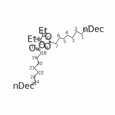 CCCCCCCCCCCCCCCCCC(=O)OC(CC)C(CC)OC(=O)CCCCCCCCCCCCCCCCC